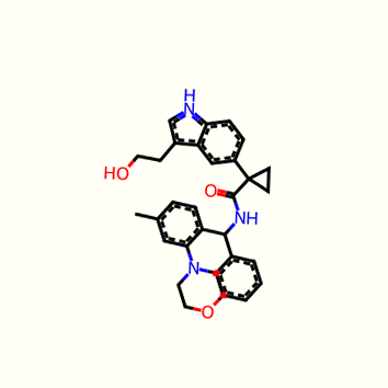 Cc1ccc(C(NC(=O)C2(c3ccc4[nH]cc(CCO)c4c3)CC2)c2ccccc2)c(N2CCOCC2)c1